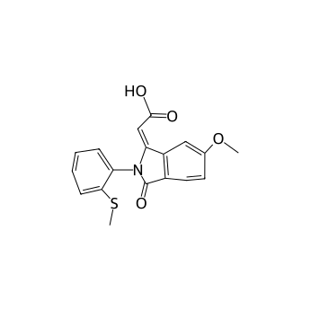 COc1ccc2c(c1)C(=CC(=O)O)N(c1ccccc1SC)C2=O